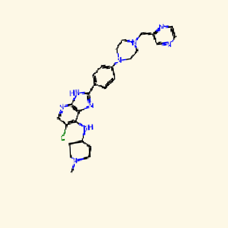 CN1CCC(Nc2c(Cl)cnc3[nH]c(-c4ccc(N5CCN(Cc6cnccn6)CC5)cc4)nc23)CC1